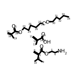 C=C(C(=O)OCCN)C(C)C.C=C(C)C(=O)O.C=C(C)C(=O)OCCCCCCCCCCCC